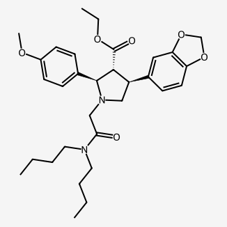 CCCCN(CCCC)C(=O)CN1C[C@H](c2ccc3c(c2)OCO3)[C@@H](C(=O)OCC)[C@@H]1c1ccc(OC)cc1